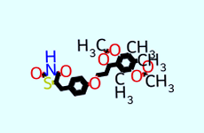 CC(=O)Oc1c(C)c(C)c(OC(C)=O)c(CCCOc2ccc(CC3SC(=O)NC3=O)cc2)c1C